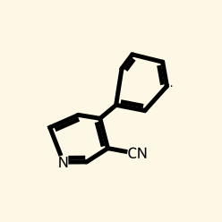 N#Cc1cnccc1-c1c[c]ccc1